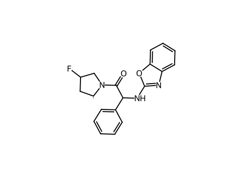 O=C(C(Nc1nc2ccccc2o1)c1ccccc1)N1[CH]CC(F)C1